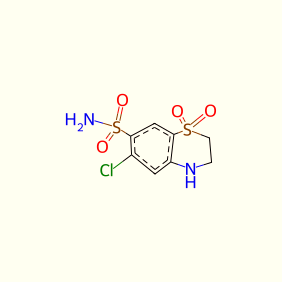 NS(=O)(=O)c1cc2c(cc1Cl)NCCS2(=O)=O